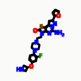 Nc1nc2c(sc(=O)n2CCN2CCN(c3ccc(OC4CNC4)cc3F)CC2)c2cc(-c3ccco3)nn12